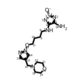 Nc1n[s+]([O-])nc1NCCCCOn1cc(CN2CCOCC2)cn1